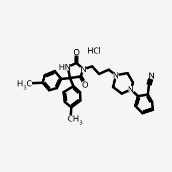 Cc1ccc(C2(c3ccc(C)cc3)NC(=O)N(CCCN3CCN(c4ccccc4C#N)CC3)C2=O)cc1.Cl